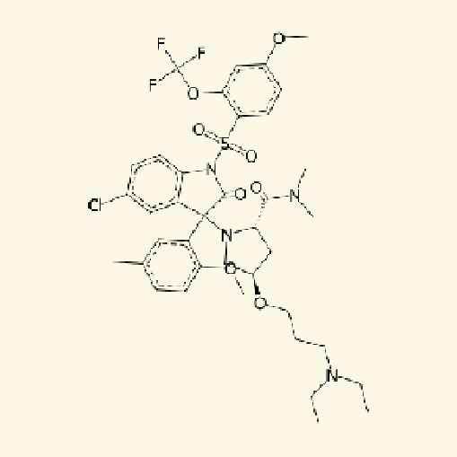 CCN(CC)CCCO[C@@H]1C[C@@H](C(=O)N(C)C)N(C2(c3cc(C)ccc3OC)C(=O)N(S(=O)(=O)c3ccc(OC)cc3OC(F)(F)F)c3ccc(Cl)cc32)C1